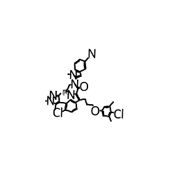 Cc1cc(OCCCc2c3n(c4c(-c5c(C)nn(C)c5C)c(Cl)ccc24)[C@H](C)CN(c2cc4cc(C#N)ccc4n2C)C3=O)cc(C)c1Cl